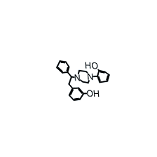 Oc1cccc(CC(c2ccccc2)N2CCN(c3ccccc3O)CC2)c1